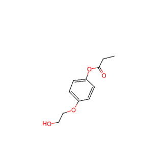 CCC(=O)Oc1ccc(OCCO)cc1